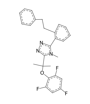 Cn1c(-c2ccccc2CCc2ccccc2)nnc1C(C)(C)Oc1c(F)cc(F)cc1F